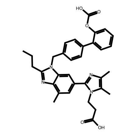 CCCc1nc2c(C)cc(-c3nc(C)c(C)n3CCC(=O)O)cc2n1Cc1ccc(-c2ccccc2OC(=O)O)cc1